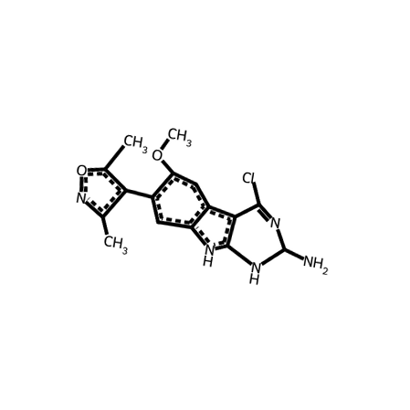 COc1cc2c3c([nH]c2cc1-c1c(C)noc1C)NC(N)N=C3Cl